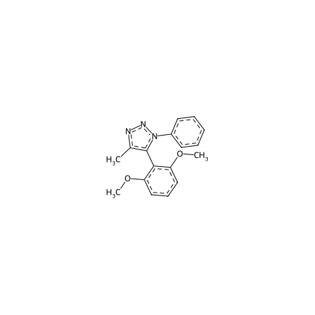 COc1cccc(OC)c1-c1c(C)nnn1-c1ccccc1